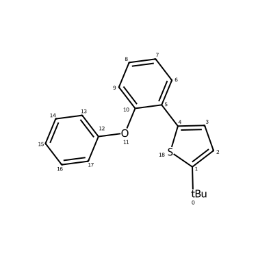 CC(C)(C)c1ccc(-c2ccccc2Oc2ccccc2)s1